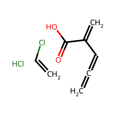 C=C=CC(=C)C(=O)O.C=CCl.Cl